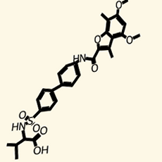 COc1cc(OC)c2c(C)c(C(=O)Nc3ccc(-c4ccc(S(=O)(=O)NC(C(=O)O)C(C)C)cc4)cc3)oc2c1C